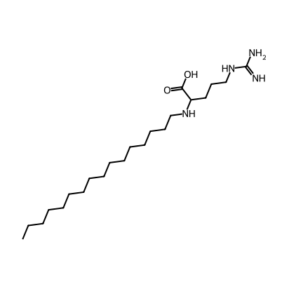 CCCCCCCCCCCCCCCCNC(CCCNC(=N)N)C(=O)O